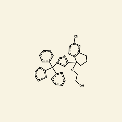 N#Cc1ccc2c(c1)CCCC2(OCCO)c1cn(C(c2ccccc2)(c2ccccc2)c2ccccc2)cn1